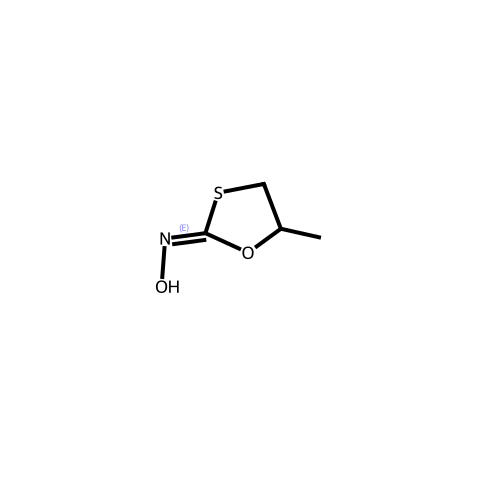 CC1CS/C(=N/O)O1